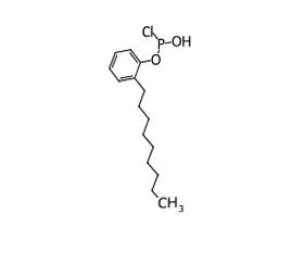 CCCCCCCCCc1ccccc1OP(O)Cl